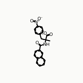 CC(Cc1ccc([N+](=O)[O-])cc1)(NC(=O)c1ccc2ccccc2c1)C(=O)O